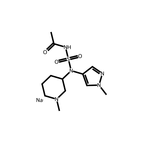 CC(=O)NS(=O)(=O)N(c1cnn(C)c1)C1CCCN(C)C1.[Na]